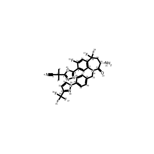 CC(C)(C#N)c1nnc(-c2cc3c(cc2F)C(F)(F)C[C@H](N)C(=O)N3Cc2ccc(-n3ccc(C(F)(F)F)n3)cc2)o1